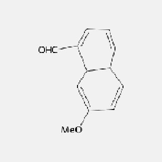 COC1=CC2C(C=O)=CC=CC2C=C1